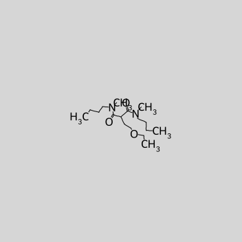 CCCCN(C)C(=O)C(CCOCC)C(=O)N(C)CCCC